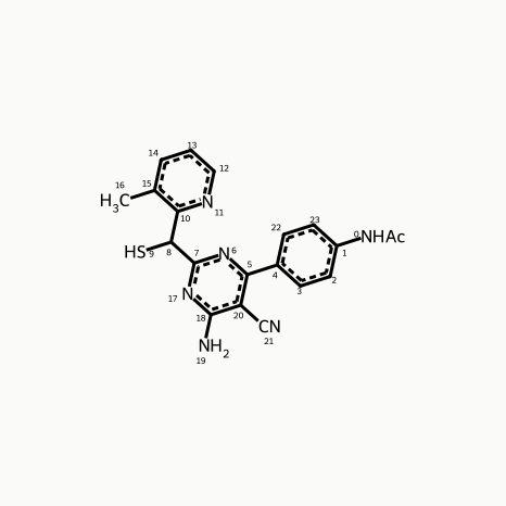 CC(=O)Nc1ccc(-c2nc(C(S)c3ncccc3C)nc(N)c2C#N)cc1